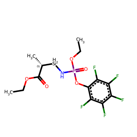 CCOC(=O)[C@H](C)[SiH2]NP(=O)(OCC)Oc1c(F)c(F)c(F)c(F)c1F